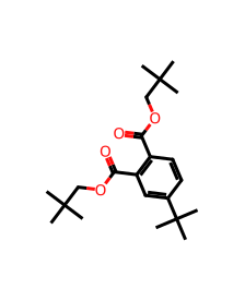 CC(C)(C)COC(=O)c1ccc(C(C)(C)C)cc1C(=O)OCC(C)(C)C